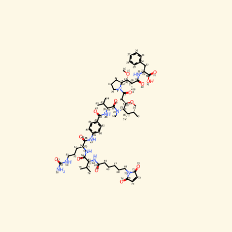 CC[C@H](C)[C@@H]([C@@H](CC(=O)N1CCC[C@H]1[C@H](OC)[C@@H](C)C(=O)N[C@@H](Cc1ccccc1)C(=O)O)OC)N(C)C(=O)[C@@H](NC(=O)c1ccc(NC(=O)[C@H](CCCNC(N)=O)NC(=O)[C@@H](NC(=O)CCCCCN2C(=O)C=CC2=O)C(C)C)cc1)C(C)C